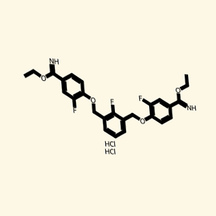 CCOC(=N)c1ccc(OCc2cccc(COc3ccc(C(=N)OCC)cc3F)c2F)c(F)c1.Cl.Cl